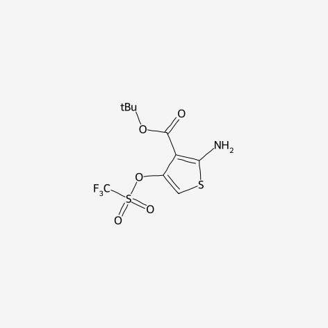 CC(C)(C)OC(=O)c1c(OS(=O)(=O)C(F)(F)F)csc1N